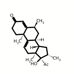 CC(=O)[C@@]1(O)[C@@H](C)C[C@H]2[C@@H]3C[C@H](C)C4=CC(=O)CC[C@]4(C)C3=CC[C@@]21C